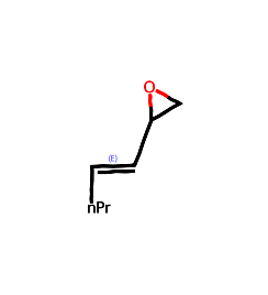 CCC/C=C/C1CO1